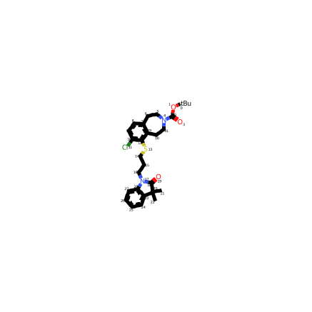 CC(C)(C)OC(=O)N1CCc2ccc(Cl)c(SCCCN3C(=O)C(C)(C)c4ccccc43)c2CC1